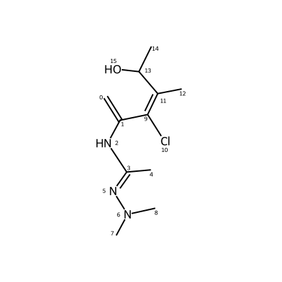 C=C(N/C(C)=N/N(C)C)/C(Cl)=C(/C)C(C)O